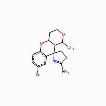 CC1OCCC2Oc3ccc(Br)cc3C3(CSC(N)=N3)C12